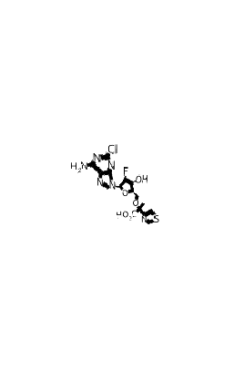 CC(OC[C@H]1O[C@@H](n2cnc3c(N)nc(Cl)nc32)[C@@H](F)[C@@H]1O)(C(=O)O)c1cscn1